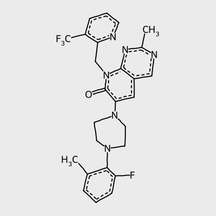 Cc1ncc2cc(N3CCN(c4c(C)cccc4F)CC3)c(=O)n(Cc3ncccc3C(F)(F)F)c2n1